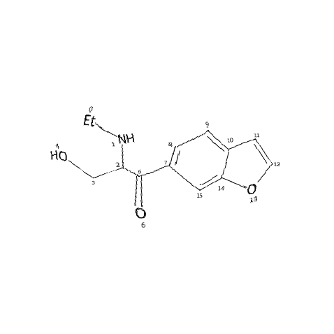 CCNC(CO)C(=O)c1ccc2ccoc2c1